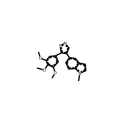 COc1cc(-c2sncc2-c2ccc3c(ccn3C)c2)cc(OC)c1OC